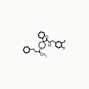 C=C(CCc1ccccc1)N1CCC(C(=O)NCc2ccc(F)c(F)c2)(c2ccccc2)CC1